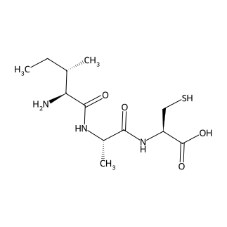 CC[C@H](C)[C@H](N)C(=O)N[C@@H](C)C(=O)N[C@@H](CS)C(=O)O